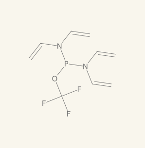 C=CN(C=C)P(OC(F)(F)F)N(C=C)C=C